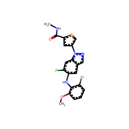 CNC(=O)c1cc(-n2ncc3cc(Nc4c(Cl)cccc4OC)c(F)cc32)cs1